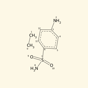 CC.Nc1ccc(S(N)(=O)=O)cc1